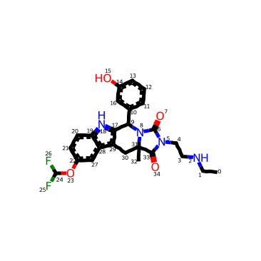 CCNCCN1C(=O)N2C(c3cccc(O)c3)c3[nH]c4ccc(OC(F)F)cc4c3CC2(C)C1=O